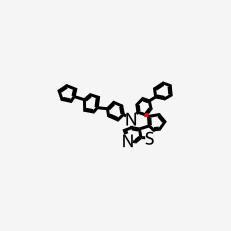 c1ccc(-c2ccc(-c3ccc(N(c4ccc(-c5ccccc5)cc4)c4cncc5sc6ccccc6c45)cc3)cc2)cc1